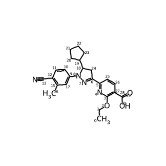 CCOc1nc(C2=NN(c3ccc(C#N)c(C)c3)C(C3CCCC3)C2)ccc1C(=O)O